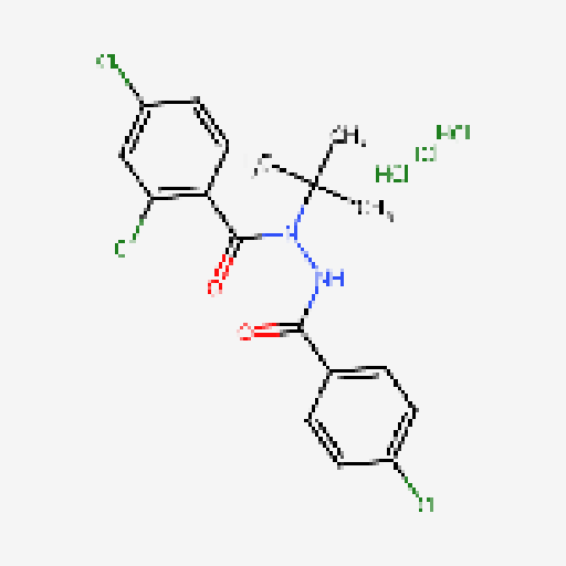 CC(C)(C)N(NC(=O)c1ccc(Cl)cc1)C(=O)c1ccc(Cl)cc1Cl.Cl.Cl.Cl